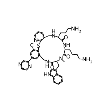 CN1C(=O)[C@H](CCCCN)NC(=O)[C@H](CCCN)NCc2cccnc2Sc2c(Cl)cc(-c3cnccn3)cc2CNC(=O)[C@@H]1Cc1c[nH]c2ccccc12